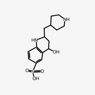 O=S(=O)(O)c1ccc2c(c1)C(O)CC(CC1CCNCC1)N2